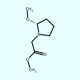 COC(=O)CN1CCC[C@H]1OC